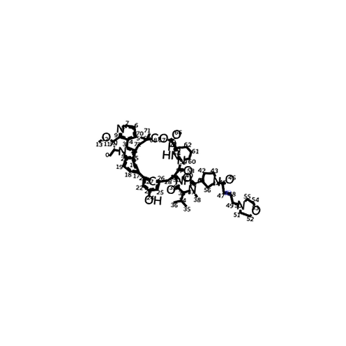 CCn1c(-c2cccnc2[C@H](C)OC)c2c3cc(ccc31)-c1cc(O)cc(c1)C[C@H](NC(=O)C(C(C)C)N(C)C(=O)[C@H]1CCN(C(=O)/C=C/CN3CCOCC3)C1)C(=O)N1CCC[C@H](N1)C(=O)OCC(C)(C)C2